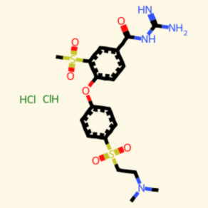 CN(C)CCS(=O)(=O)c1ccc(Oc2ccc(C(=O)NC(=N)N)cc2S(C)(=O)=O)cc1.Cl.Cl